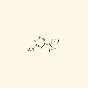 O=C(O)C1(c2cccc([N+](=O)[O-])c2)CC1